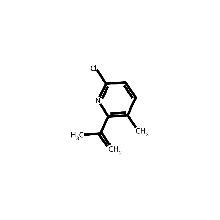 C=C(C)c1nc(Cl)ccc1C